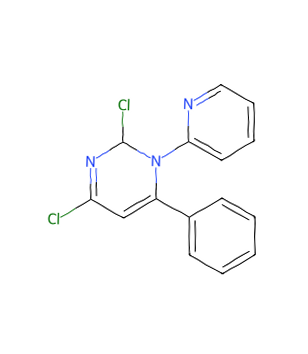 ClC1=NC(Cl)N(c2ccccn2)C(c2ccccc2)=C1